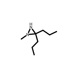 CCCC1(CCC)NN1C